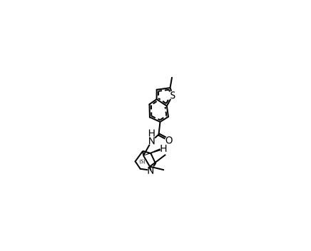 Cc1cc2ccc(C(=O)N[C@H]3C4CCN(CC4)C3(C)C)cc2s1